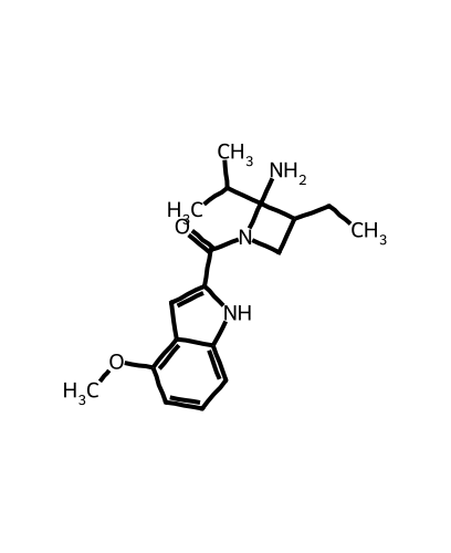 CCC1CN(C(=O)c2cc3c(OC)cccc3[nH]2)C1(N)C(C)C